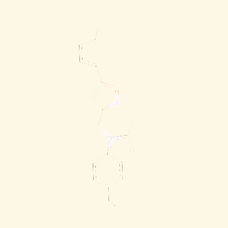 N#Cc1ccc2c(c1)cc(C(=O)O)n2Cc1cc(-c2ccc(Cl)s2)on1